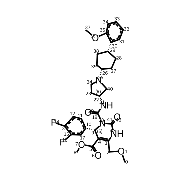 COCC1=C(C(=O)OC)[C@H](c2ccc(F)c(F)c2)N(C(=O)N[C@@H]2CCN([C@H]3CC[C@@H](c4ccccc4OC)CC3)C2)C(=O)N1